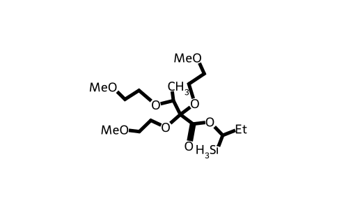 CCC([SiH3])OC(=O)C(OCCOC)(OCCOC)C(C)OCCOC